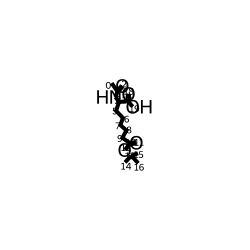 CC(=O)NC(CCCCCC(=O)OC(C)(C)C)C(=O)O